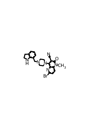 Cn1c(=O)c(C#N)c(N2CCN(Cc3cccc4c3NCC4)CC2)c2nc(Br)ccc21